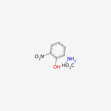 NC(=O)O.O=[N+]([O-])c1ccccc1O